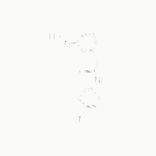 COc1cccc(CC(=O)Nc2ccc(Cl)cc2)c1